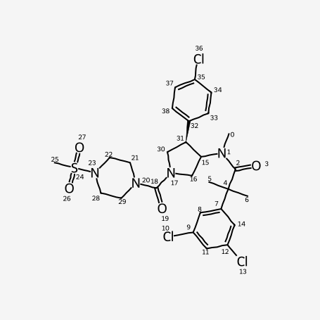 CN(C(=O)C(C)(C)c1cc(Cl)cc(Cl)c1)C1CN(C(=O)N2CCN(S(C)(=O)=O)CC2)C[C@H]1c1ccc(Cl)cc1